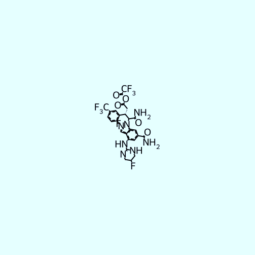 NC(=O)c1cc(NC2=NCC(F)CN2)c2cnn(C(C(N)=O)[C@@H](CC(=O)OC(=O)C(F)(F)F)c3cc(C(F)(F)F)ccc3F)c2c1